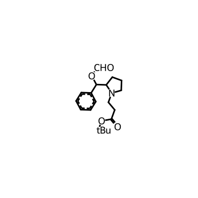 CC(C)(C)OC(=O)CCN1CCCC1C(OC=O)c1ccccc1